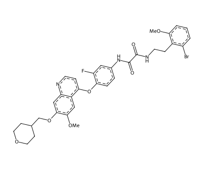 COc1cc2c(Oc3ccc(NC(=O)C(=O)NCCc4c(Br)cccc4OC)cc3F)ccnc2cc1OCC1CCOCC1